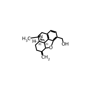 C=C1CC[C@H]2C3Cc4ccc(CO)c5c4[C@@]2(CCN3C)C1O5